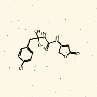 CC(C)(Cc1ccc(Cl)cc1)NC(=O)NC1=CC(=O)OC1